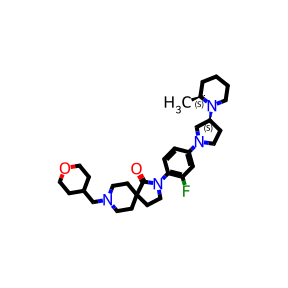 C[C@H]1CCCCN1[C@H]1CCN(c2ccc(N3CCC4(CCN(CC5CCOCC5)CC4)C3=O)c(F)c2)C1